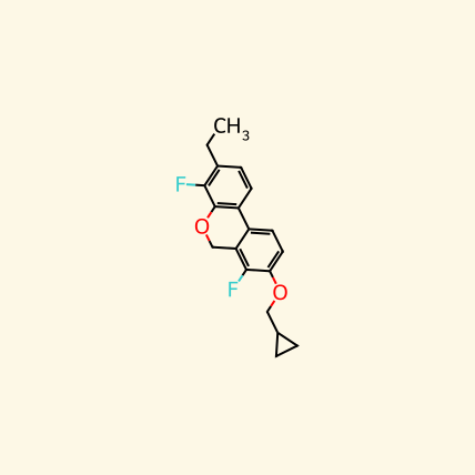 CCc1ccc2c(c1F)OCc1c-2ccc(OCC2CC2)c1F